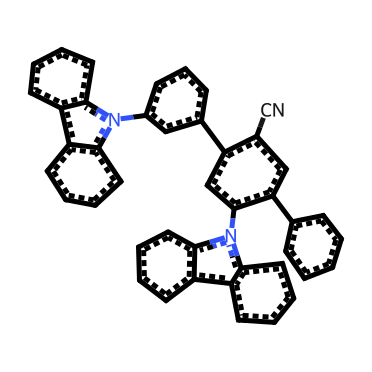 N#Cc1cc(-c2ccccc2)c(-n2c3ccccc3c3ccccc32)cc1-c1cccc(-n2c3ccccc3c3ccccc32)c1